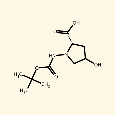 CC(C)(C)OC(=O)NN1CC(O)C[C@H]1C(=O)O